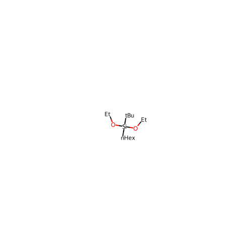 CCCCCC[Si](OCC)(OCC)C(C)(C)C